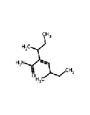 CCC(C)C=C(C(N)=O)C(C)CC